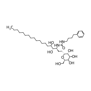 CCCCCCCCCCCCCC[C@@H](O)[C@@H](O)[C@H](CC[C@H]1O[C@H](CO)[C@H](O)[C@H](O)[C@H]1O)NC(=O)NCCCCc1ccccc1